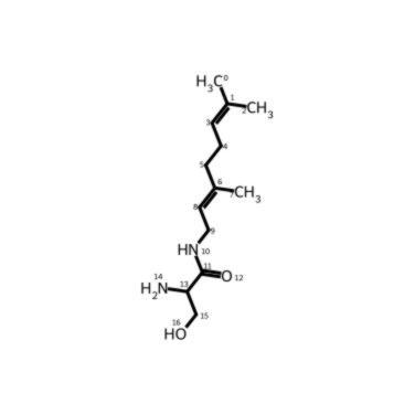 CC(C)=CCC/C(C)=C/CNC(=O)C(N)CO